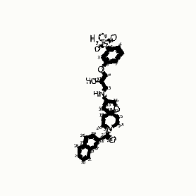 CS(=O)(=O)c1cccc(OC[C@@H](O)CNC2COC3(CCN(C(=O)c4ccc5ccccc5c4)CC3)C2)c1